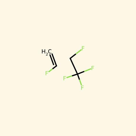 C=CF.FCC(F)(F)F